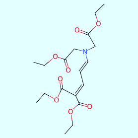 CCOC(=O)CN(/C=C/C=C(C(=O)OCC)C(=O)OCC)CC(=O)OCC